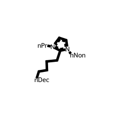 CCCCCCCCCCCCCCc1n(CCCCCCCCC)cc[n+]1CCC